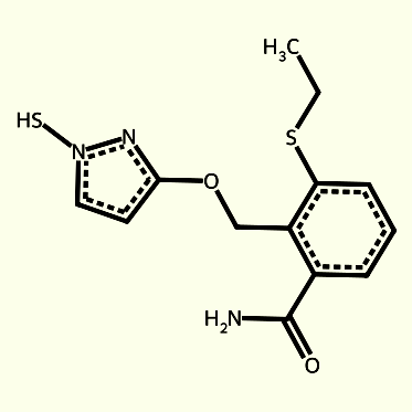 CCSc1cccc(C(N)=O)c1COc1ccn(S)n1